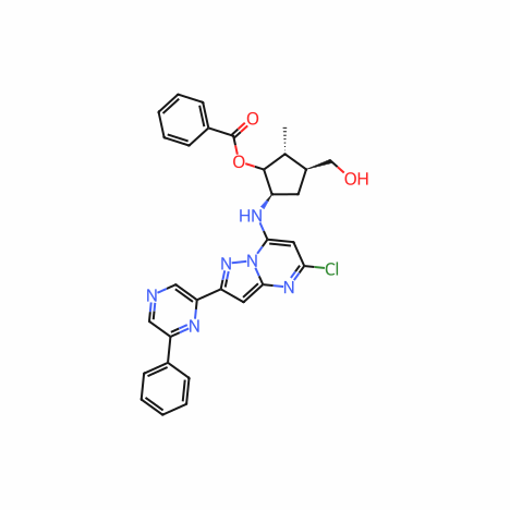 C[C@H]1C(OC(=O)c2ccccc2)[C@H](Nc2cc(Cl)nc3cc(-c4cncc(-c5ccccc5)n4)nn23)C[C@@H]1CO